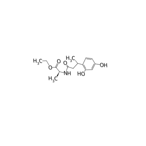 CCOC(=O)[C@H](C)NC(=O)CC(C)c1ccc(O)cc1O